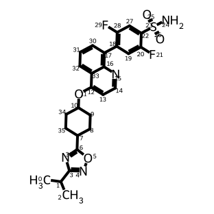 CC(C)c1noc(C2CCC(Oc3ccnc4c(-c5cc(F)c(S(N)(=O)=O)cc5F)cccc34)CC2)n1